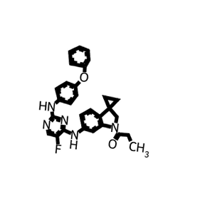 CCC(=O)N1CC2(CC2)c2ccc(Nc3nc(Nc4ccc(Oc5ccccc5)cc4)ncc3F)cc21